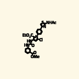 CCOC(=O)c1c(NC(=O)Nc2cccc(C(=O)OC)c2)cc(Cl)n1-c1ccc(-c2csc(NC(C)=O)n2)cc1